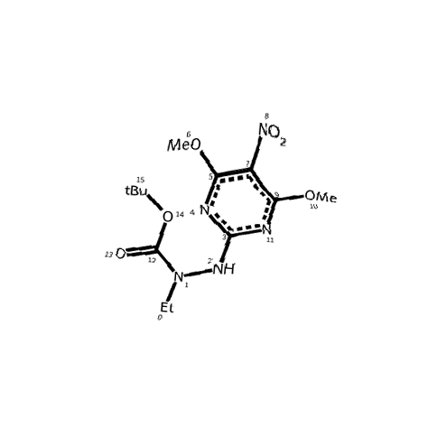 CCN(Nc1nc(OC)c([N+](=O)[O-])c(OC)n1)C(=O)OC(C)(C)C